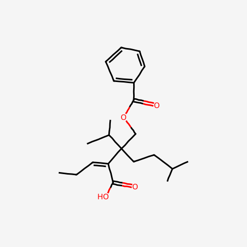 CCC=C(C(=O)O)C(CCC(C)C)(COC(=O)c1ccccc1)C(C)C